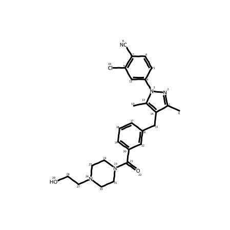 Cc1nn(-c2ccc(C#N)c(Cl)c2)c(C)c1Cc1cccc(C(=O)N2CCN(CCO)CC2)c1